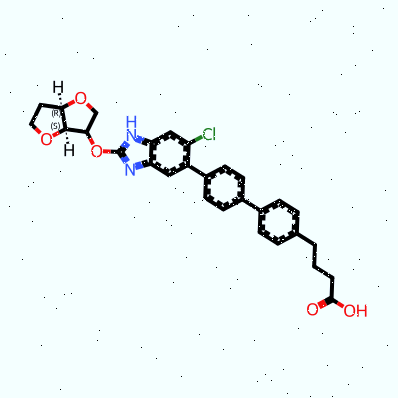 O=C(O)CCCc1ccc(-c2ccc(-c3cc4nc(OC5CO[C@@H]6CCO[C@H]56)[nH]c4cc3Cl)cc2)cc1